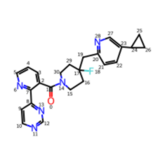 O=C(c1cccnc1-c1ccncn1)N1CCC(F)(Cc2ccc(C3CC3)cn2)CC1